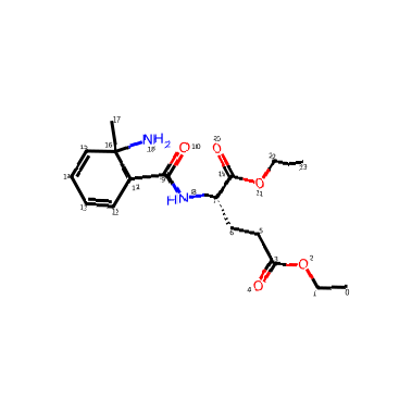 CCOC(=O)CC[C@H](NC(=O)C1C=CC=CC1(C)N)C(=O)OCC